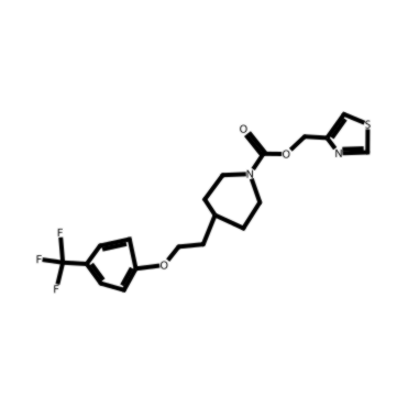 O=C(OCc1cscn1)N1CCC(CCOc2ccc(C(F)(F)F)cc2)CC1